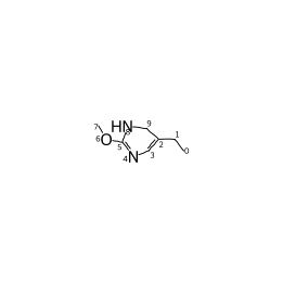 CCC1=CN=C(OC)NC1